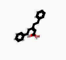 O=C(O)C=C(CCc1ccccc1)CCc1ccccc1